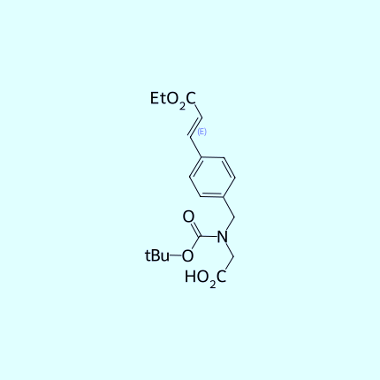 CCOC(=O)/C=C/c1ccc(CN(CC(=O)O)C(=O)OC(C)(C)C)cc1